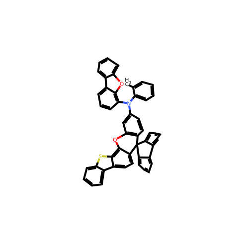 Cc1ccccc1N(c1ccc2c(c1)Oc1c(ccc3c1sc1ccccc13)C21c2ccccc2-c2ccccc21)c1cccc2c1oc1ccccc12